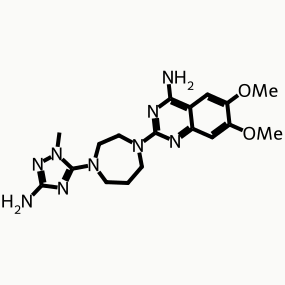 COc1cc2nc(N3CCCN(c4nc(N)nn4C)CC3)nc(N)c2cc1OC